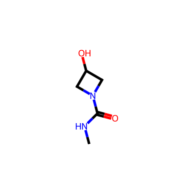 CNC(=O)N1CC(O)C1